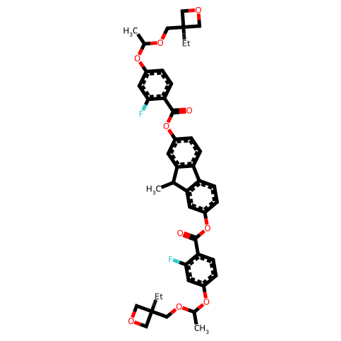 CCC1(COC(C)Oc2ccc(C(=O)Oc3ccc4c(c3)C(C)c3cc(OC(=O)c5ccc(OC(C)OCC6(CC)COC6)cc5F)ccc3-4)c(F)c2)COC1